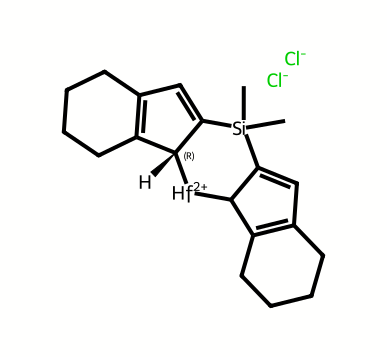 C[Si]1(C)C2=CC3=C(CCCC3)[CH]2[Hf+2][C@H]2C1=CC1=C2CCCC1.[Cl-].[Cl-]